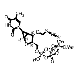 COP(=O)(O)OP(=O)(O)OP(=O)(O)OC[C@H]1O[C@@H]2C(C2n2cc(C)c(=O)[nH]c2=O)[C@@H]1OCN=[N+]=[N-]